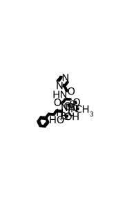 CN(C)S(=O)(=O)CC(NC(=O)c1cnccn1)C(=O)NC(CCCc1ccccc1)B(O)O